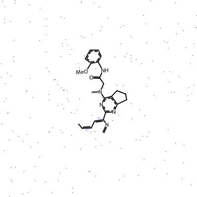 C=N/C(=C\C=C/C)c1nc2c(c(N(C)CC(=O)Nc3ccccc3OC)n1)CCC2